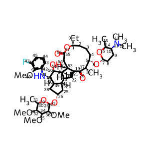 CC[C@H]1CCC[C@H](O[C@H]2CC[C@H](N(C)C)C(C)O2)[C@@H](C)C(=O)C2=C[C@H]3[C@@H]4C[C@H](O[C@@H]5OC(C)[C@H](OC)C(OC)C5OC)C[C@H]4[C@H](Nc4cccc(F)c4OC)[C@@H](O)[C@H]3[C@@H]2CC(=O)O1